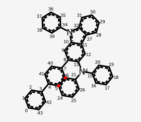 c1ccc(-c2ccc(-c3cc4c(cc3N(c3ccccc3)c3ccccc3)c3ccccc3n4-c3ccccc3)cc2)cc1